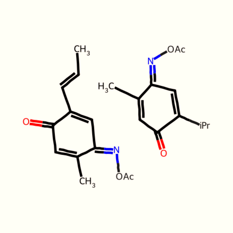 CC(=O)ON=C1C=C(C(C)C)C(=O)C=C1C.CC=CC1=CC(=NOC(C)=O)C(C)=CC1=O